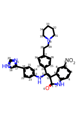 O=C1Nc2ccc([N+](=O)[O-])cc2/C1=C(/Nc1ccc(-c2c[nH]cn2)cc1)c1ccc(CCN2CCCCC2)cc1